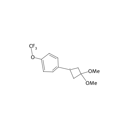 COC1(OC)C[C](c2ccc(OC(F)(F)F)cc2)C1